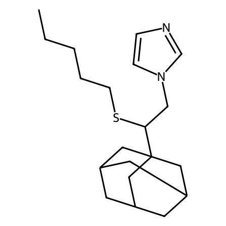 CCCCCSC(Cn1ccnc1)C12CC3CC(CC(C3)C1)C2